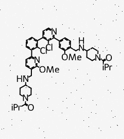 COc1cc(-c2nccc(-c3cccc(-c4ccc(CNC5CCN(C(=O)C(C)C)CC5)c(OC)n4)c3Cl)c2Cl)ccc1CNC1CCN(C(=O)C(C)C)CC1